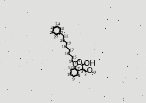 COC=C(C(=O)O)c1ccccc1OCCCCCCCCc1ccccc1